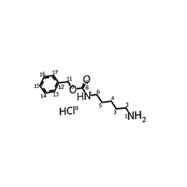 Cl.NCCCCCNC(=O)OCc1ccccc1